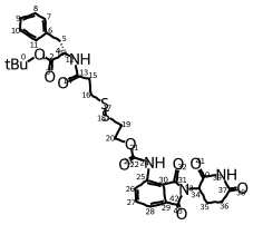 CC(C)(C)OC(=O)[C@H](Cc1ccccc1)NC(=O)CCSSCCOC(=O)Nc1cccc2c1C(=O)N(C1CCC(=O)NC1=O)C2=O